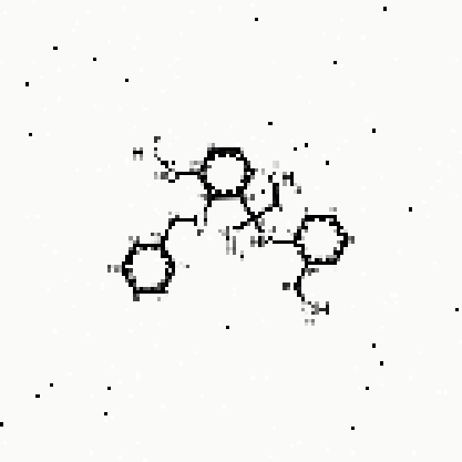 CCC(C)(Pc1ccccc1CO)c1cccc(OC)c1OCc1ccccc1